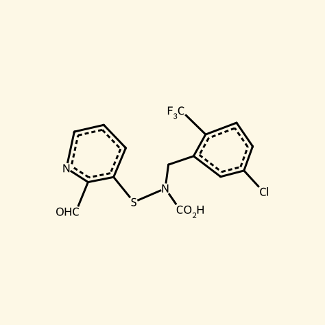 O=Cc1ncccc1SN(Cc1cc(Cl)ccc1C(F)(F)F)C(=O)O